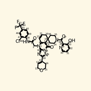 O=C(Cn1c2c(c(=O)n3nc(C4=CCOCC4)nc13)C1(CC=C2)CCN(C(=O)c2ncccc2O)CC1)Nc1ccc(C(F)(F)F)cc1Cl